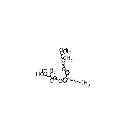 C=C(COCCOc1cccc(-c2cc(OCCOC(=O)C(=C)CC(CO)CO)ccc2CCCCCCC)c1)CC(CO)CO